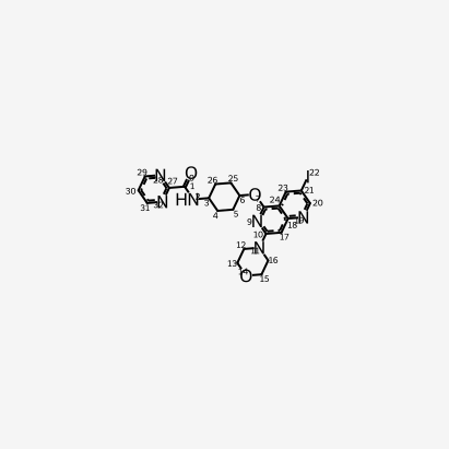 O=C(NC1CCC(Oc2nc(N3CCOCC3)cc3ncc(I)cc23)CC1)c1ncccn1